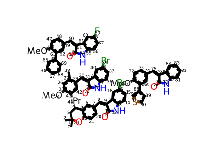 CC1(C)CCc2cc(C=C3C(=O)Nc4ccc(Br)cc43)ccc2O1.COc1cc(C)c(C=C2C(=O)Nc3ccc(Br)cc32)cc1C(C)C.COc1ccc(C=C2C(=O)Nc3ccc(F)cc32)cc1-c1ccccc1.COc1ccc(C=C2C(=O)Nc3ccccc32)cc1-c1ccsc1